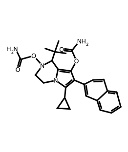 CC(C)(C)C1c2c(OC(N)=O)c(-c3ccc4ccccc4c3)c(C3CC3)n2CCN1OC(N)=O